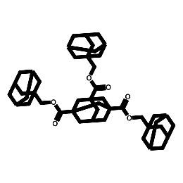 O=C(OCC12CC3CC(CC(C3)C1)C2)C12CC3CC(C(=O)OCC45CC6CC(CC(C6)C4)C5)(C1)CC(C(=O)OCC14CC5CC(CC(C5)C1)C4)(C3)C2